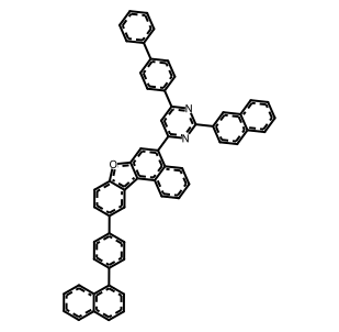 c1ccc(-c2ccc(-c3cc(-c4cc5oc6ccc(-c7ccc(-c8cccc9ccccc89)cc7)cc6c5c5ccccc45)nc(-c4ccc5ccccc5c4)n3)cc2)cc1